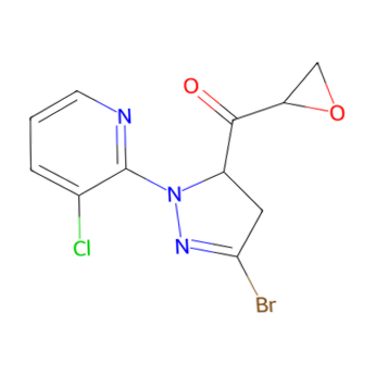 O=C(C1CO1)C1CC(Br)=NN1c1ncccc1Cl